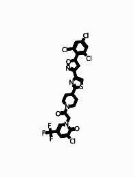 O=C(Cn1cc(C(F)(F)F)cc(Cl)c1=O)N1CCC(c2nc(C3=NOC(c4c(Cl)cc(Cl)cc4Cl)C3)cs2)CC1